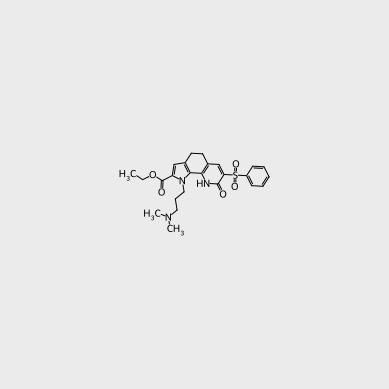 CCOC(=O)c1cc2c(n1CCCN(C)C)-c1[nH]c(=O)c(S(=O)(=O)c3ccccc3)cc1CC2